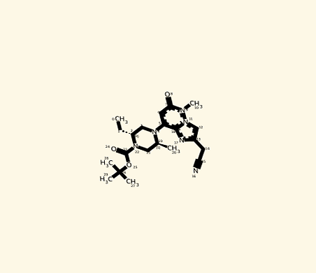 CC[C@@H]1CN(c2cc(=O)n(C)n3cc(CC#N)nc23)[C@@H](C)CN1C(=O)OC(C)(C)C